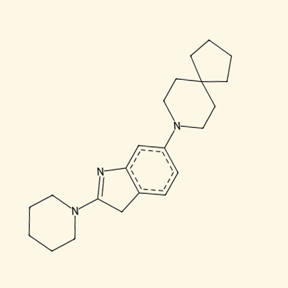 c1cc2c(cc1N1CCC3(CCCC3)CC1)N=C(N1CCCCC1)C2